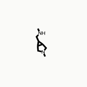 CNCC1C2CN(C)CC12